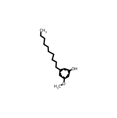 CCCCCCCCCCc1cc(O)cc(OC)c1